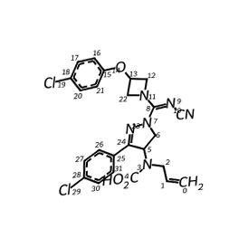 C=CCN(C(=O)O)C1CN(/C(=N\C#N)N2CC(Oc3ccc(Cl)cc3)C2)N=C1c1ccc(Cl)cc1